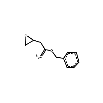 C=C(CC1CO1)OCc1ccccc1